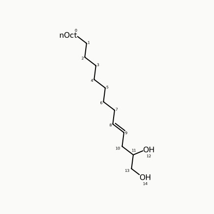 CCCCCCCCCCCCCCCC=CCC(O)CO